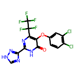 O=c1[nH]c(-c2nc[nH]n2)nc(C(F)(F)C(F)(F)F)c1Oc1ccc(Cl)c(Cl)c1